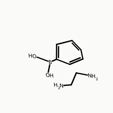 NCCN.OB(O)c1ccccc1